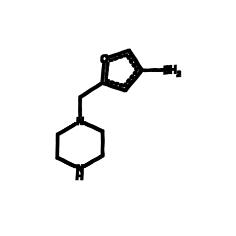 Bc1coc(CN2CCNCC2)c1